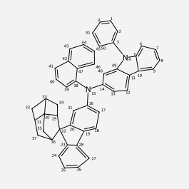 c1ccc(-n2c3ccccc3c3ccc(N(c4ccc5c(c4)C4(c6ccccc6-5)C5CC6CC(C5)CC4C6)c4cccc5ccccc45)cc32)cc1